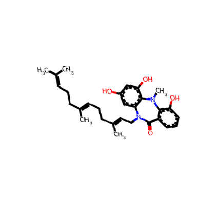 CC(C)=CCC/C(C)=C/CC/C(C)=C/CN1C(=O)c2cccc(O)c2N(C)c2c(O)cc(O)cc21